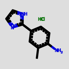 Cc1cc(-c2ncc[nH]2)ccc1N.Cl